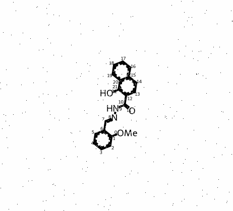 COc1ccccc1/C=N/NC(=O)c1ccc2ccccc2c1O